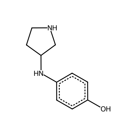 Oc1ccc(NC2CCNC2)cc1